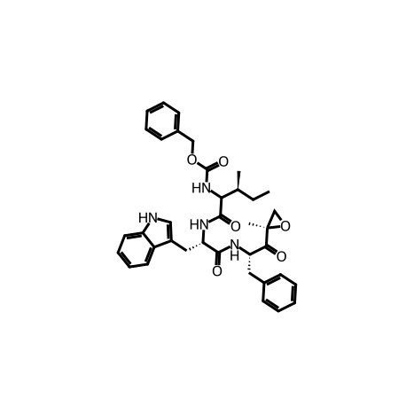 CC[C@H](C)C(NC(=O)OCc1ccccc1)C(=O)N[C@@H](Cc1c[nH]c2ccccc12)C(=O)N[C@@H](Cc1ccccc1)C(=O)[C@@]1(C)CO1